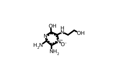 Nc1nc(O)c(NCCO)[n+]([O-])c1N